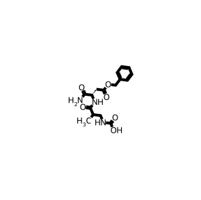 CC(CNC(=O)O)C(=O)N[C@@H](CC(=O)OCc1ccccc1)C(N)=O